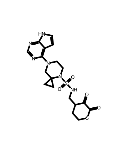 O=C1SCCC(CNS(=O)(=O)N2CCN(c3ncnc4[nH]ccc34)CC23CC3)C1=O